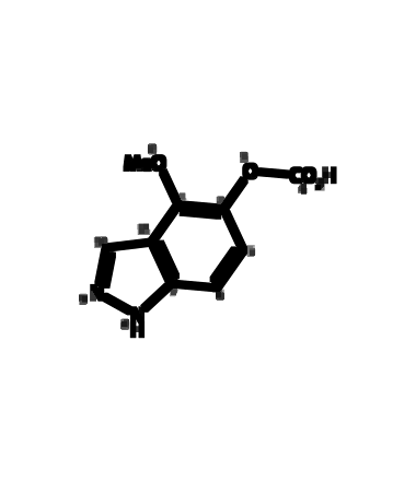 COc1c(OC(=O)O)ccc2[nH]ncc12